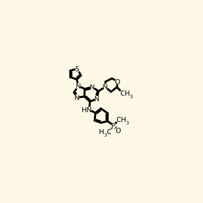 CC1CN(c2nc(Nc3ccc(P(C)(C)=O)cc3)c3ncn(-c4ccsc4)c3n2)CCO1